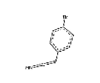 N=C=Cc1ccc(Br)cc1